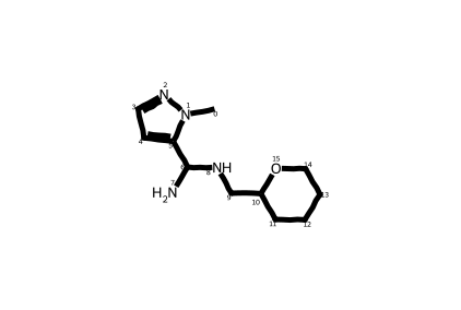 Cn1nccc1C(N)NCC1CCCCO1